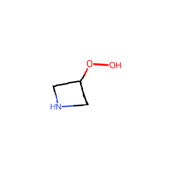 OOC1CNC1